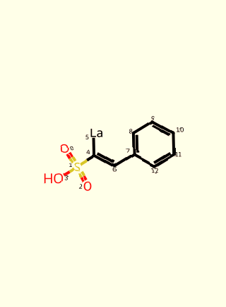 O=S(=O)(O)[C]([La])=Cc1ccccc1